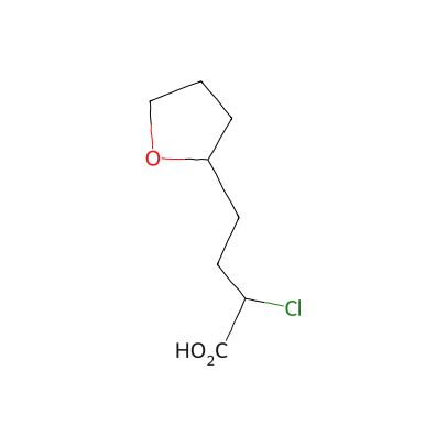 O=C(O)C(Cl)CCC1CCCO1